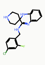 Fc1cc(Cl)ccc1CNC1=Nc2ccccc2NC12CCNCC2